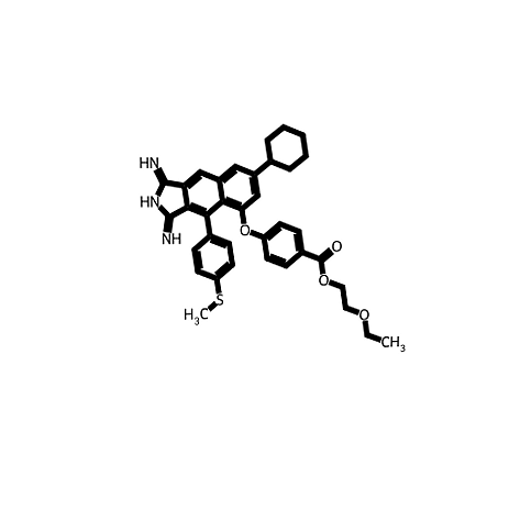 CCOCCOC(=O)c1ccc(Oc2cc(C3CCCCC3)cc3cc4c(c(-c5ccc(SC)cc5)c23)C(=N)NC4=N)cc1